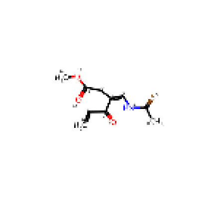 C=CC(=O)/C(=C\NC(C)=S)CC(=O)OC